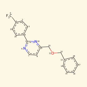 FC(F)(F)c1ccc(-c2nccc(COCc3ccccc3)n2)cc1